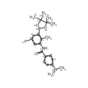 Cc1c(NC(=O)c2ccc(N(C)C)cc2)cc(F)cc1B1OC(C)(C)C(C)(C)O1